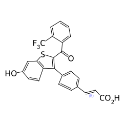 O=C(O)/C=C/c1ccc(-c2c(C(=O)c3ccccc3C(F)(F)F)sc3cc(O)ccc23)cc1